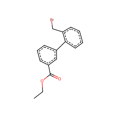 CCOC(=O)c1cccc(-c2ccccc2CBr)c1